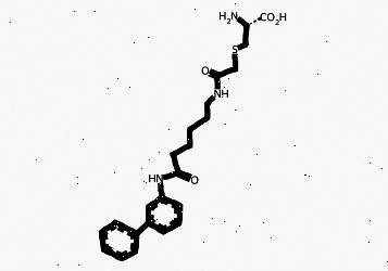 N[C@@H](CSCC(=O)NCCCCCC(=O)Nc1cccc(-c2ccccc2)c1)C(=O)O